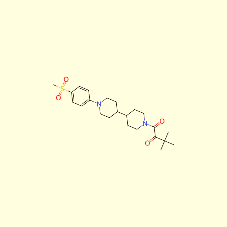 CC(C)(C)C(=O)C(=O)N1CCC(C2CCN(c3ccc(S(C)(=O)=O)cc3)CC2)CC1